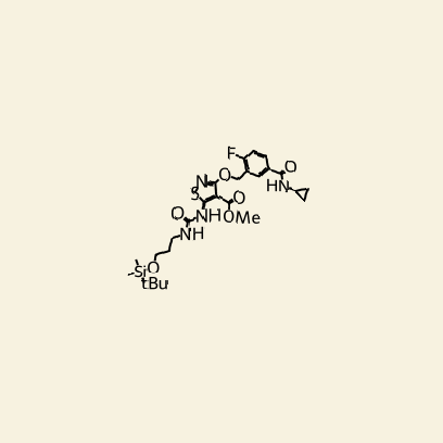 COC(=O)c1c(OCc2cc(C(=O)NC3CC3)ccc2F)nsc1NC(=O)NCCCO[Si](C)(C)C(C)(C)C